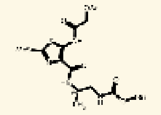 CSc1nc(C(=O)N[C@H](C)CNC(=O)OC(C)(C)C)c(NC(=O)COC(C)=O)s1